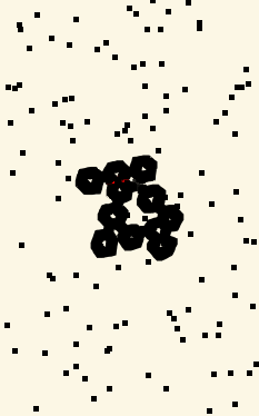 c1ccc(-c2ccc(-c3ccccc3N(c3ccc(-c4cccc5c4ccc4ccccc45)cc3)c3cccc(-c4ccc(-c5ccccc5)c(-c5ccccc5)c4)c3)cc2)cc1